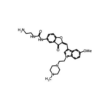 COc1ccc2c(c1)c(C=C1Oc3ccc(NC(=O)NCCN)cc3C1=O)cn2CCN1CCN(C)CC1